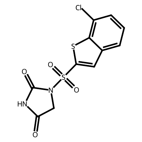 O=C1CN(S(=O)(=O)c2cc3cccc(Cl)c3s2)C(=O)N1